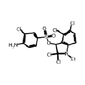 CCN1c2ccc(Cl)c(Cl)c2C(OS(=O)(=O)c2ccc(N)c(Cl)c2)C1(Cl)Cl